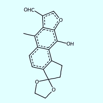 Cc1c2ccc3c(c2c(O)c2occ(C=O)c12)CCC31OCCO1